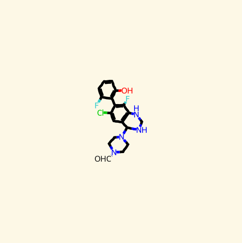 O=CN1CCN(C2NCNc3c2cc(Cl)c(-c2c(O)cccc2F)c3F)CC1